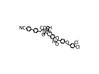 CN1C(=O)C(c2ccc(OCc3ccc(Cl)c(Cl)c3)cc2)Oc2cc3c(cc21)CC(C(=O)N[C@@H](Cc1ccc(-c2ccc(C#N)cc2)cc1)C(=O)O)N(C1CCC1)C3